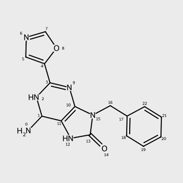 NC1NC(c2cnco2)=Nc2c1[nH]c(=O)n2Cc1ccccc1